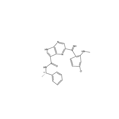 CNc1cc(Cl)ccc1C(=N)c1cnc2[nH]cc(C(=O)N[C@@H](C)c3ccccc3)c2n1